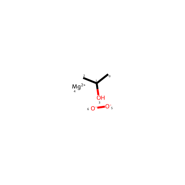 CC(C)O.[Mg+2].[O-][O-]